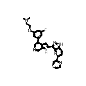 CN(C)CCOc1cc(F)cc(-c2cncc3[nH]c(-c4n[nH]c5ccc(-c6cnccn6)nc45)cc23)c1